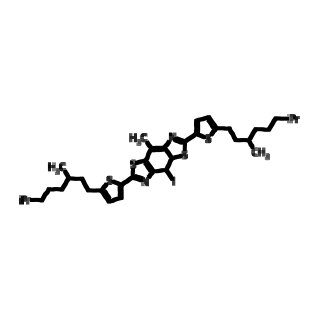 CC1=C2N=C(c3ccc(CCC(C)CCCC(C)C)s3)SC2C(I)c2nc(-c3ccc(CCC(C)CCCC(C)C)s3)sc21